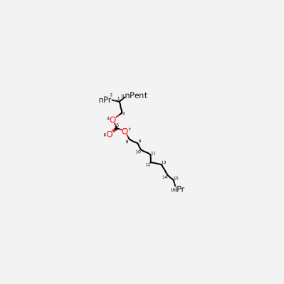 CCCCCC(CCC)COC(=O)OCCCCCCCCC(C)C